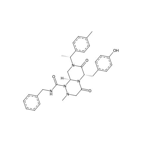 Cc1ccc([C@@H](C)N2C[C@H]3N(C(=O)CN(C)N3C(=O)NCc3ccccc3)[C@@H](Cc3ccc(O)cc3)C2=O)cc1